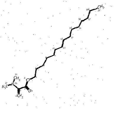 C=C(C(=O)OCCCCCCCCCCCCCCC)N(C)C